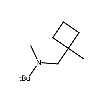 CN(CC1(C)CCC1)C(C)(C)C